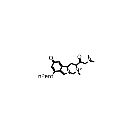 CCCCCC1=CC(=O)C=C2C1=CN1C[N+](C)(C)C(C(=O)CN(C)C)CC21